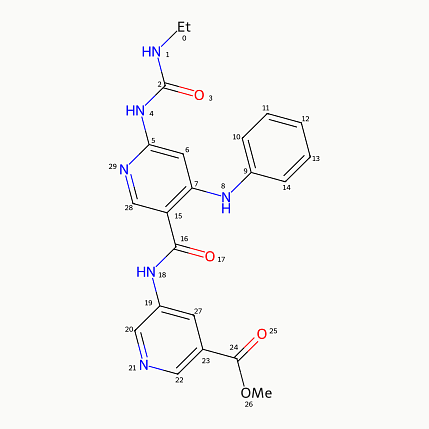 CCNC(=O)Nc1cc(Nc2ccccc2)c(C(=O)Nc2cncc(C(=O)OC)c2)cn1